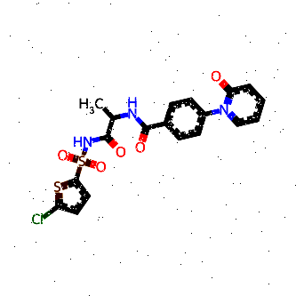 CC(NC(=O)c1ccc(-n2ccccc2=O)cc1)C(=O)NS(=O)(=O)c1ccc(Cl)s1